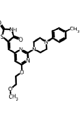 COCCOc1cc(C=C2SC(=O)NC2=O)nc(N2CCN(c3ccc(C)cc3)CC2)n1